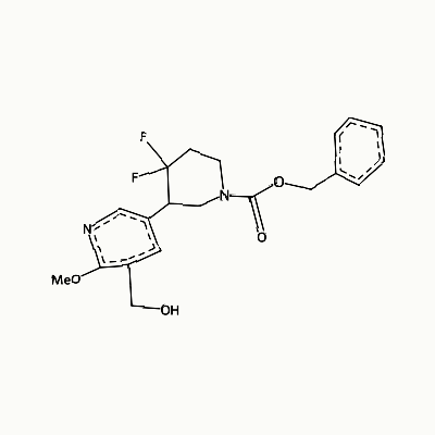 COc1ncc(C2CN(C(=O)OCc3ccccc3)CCC2(F)F)cc1CO